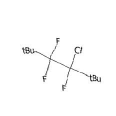 CC(C)(C)C(F)(F)C(F)(Cl)C(C)(C)C